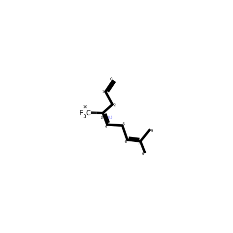 C=CC/C(=C\CC=C(C)C)C(F)(F)F